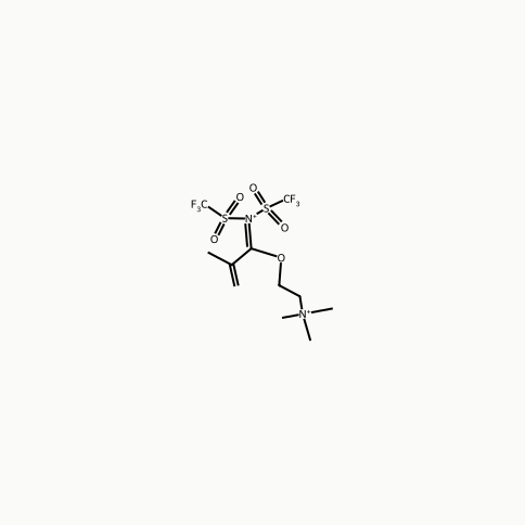 C=C(C)C(OCC[N+](C)(C)C)=[N+](S(=O)(=O)C(F)(F)F)S(=O)(=O)C(F)(F)F